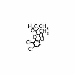 CC(C)(C)C(=O)C(Cl)Oc1c(Cl)ccc(Cl)c1Cl